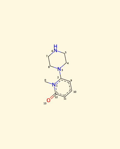 Cn1c(N2CCNCC2)cccc1=O